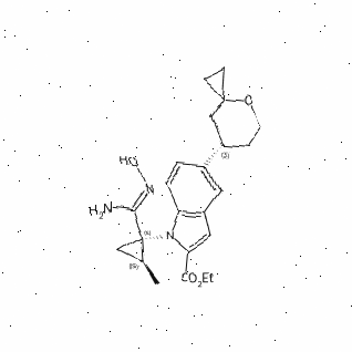 CCOC(=O)c1cc2cc([C@H]3CCOC4(CC4)C3)ccc2n1[C@@]1(C(N)=NO)C[C@@H]1C